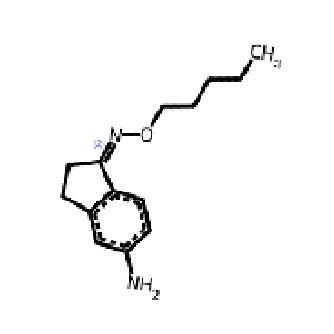 CCCCCO/N=C1/CCc2cc(N)ccc21